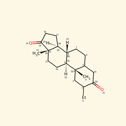 CCC1C[C@@]2(C)C(CC[C@@H]3[C@@H]2CC[C@]2(C)C(=O)CC[C@@H]32)CC1=O